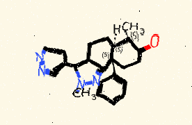 C[C@@H]1C(=O)CC[C@]2(c3ccccc3)c3nn(C)c(-c4ccnnc4)c3CC[C@@H]12